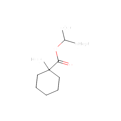 CCCCCCCCC(CCCCCCC)OC(=O)C1(C(=O)O)CCCCC1